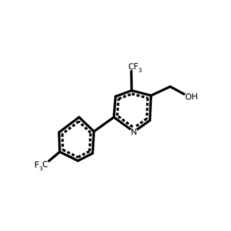 OCc1cnc(-c2ccc(C(F)(F)F)cc2)cc1C(F)(F)F